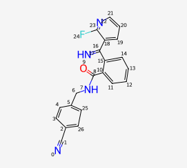 N#Cc1ccc(CNC(=O)c2ccccc2C(=N)c2cccnc2F)cc1